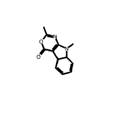 Cc1nc2c(c(=O)o1)C1C=CC=CC1N2C